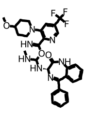 CNC(N[C@H]1N=C(c2ccccc2)c2ccccc2NC1=O)OC(=N)c1ncc(C(F)(F)F)cc1N1CCC(OC)CC1